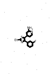 CCc1nc(-c2cccc(F)c2)c(-c2ccnc(N)c2)s1